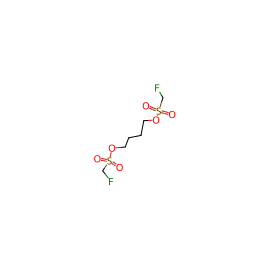 O=S(=O)(CF)OCCCCOS(=O)(=O)CF